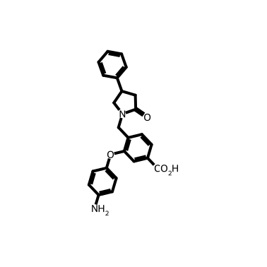 Nc1ccc(Oc2cc(C(=O)O)ccc2CN2CC(c3ccccc3)CC2=O)cc1